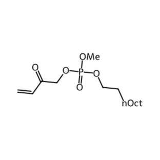 C=CC(=O)COP(=O)(OC)OCCCCCCCCCC